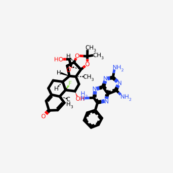 CC1(C)O[C@@H]2C[C@H]3[C@@H]4CCC5=CC(=O)C=C[C@]5(C)[C@@]4(F)[C@@H](O)C[C@]3(C)[C@]2(C(=O)CO)O1.Nc1nc(N)c2nc(-c3ccccc3)c(N)nc2n1